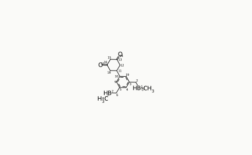 CBCc1cc(CBC)cc(C2CC(=O)CC(=O)C2)c1